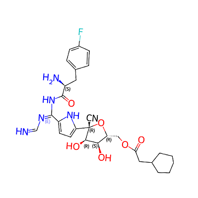 N#C[C@@]1(c2ccc(/C(=N\C=N)NC(=O)[C@@H](N)Cc3ccc(F)cc3)[nH]2)O[C@H](COC(=O)CC2CCCCC2)[C@@H](O)[C@H]1O